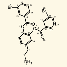 NCCc1ccc(OC(=O)c2cncc(Br)c2)c(OC(=O)c2cncc(Br)c2)c1